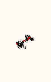 C[C@H](NC(=O)c1ccco1)C(=O)N1CCCN(CCCOc2ccc(-c3noc(Cc4cccnc4)n3)c(F)c2)CC1